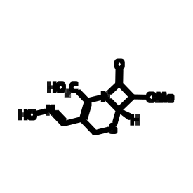 COC1C(=O)N2C(C(=O)O)=C(C=NO)CS[C@@H]12